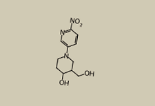 O=[N+]([O-])c1ccc(N2CCC(O)C(CO)C2)cn1